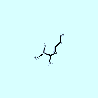 CN(C)C(NCCO)C(C)(C)C